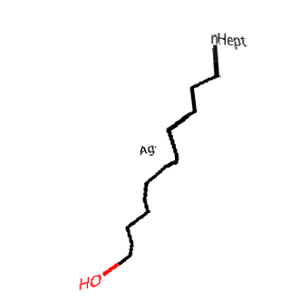 CCCCCCCCCCCCCCCCO.[Ag]